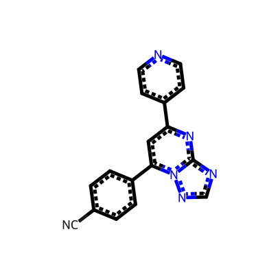 N#Cc1ccc(-c2cc(-c3ccncc3)nc3ncnn23)cc1